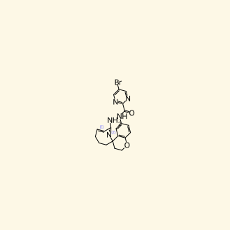 NC1=N\C2(CCC\C=C\1)CCOc1ccc(NC(=O)c3ncc(Br)cn3)cc12